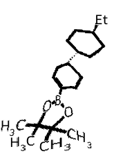 CC[C@H]1CC[C@H](C2CC=C(B3OC(C)(C)C(C)(C)O3)CC2)CC1